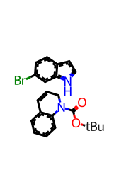 Brc1ccc2cc[nH]c2c1.CC(C)(C)OC(=O)N1CC=Cc2ccccc21